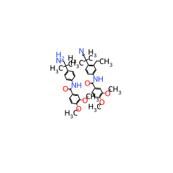 CCc1cc(NC(=O)c2ccc(OC)c(OC)c2)ccc1C(C)(C)C#N.COc1ccc(C(=O)Nc2ccc(C(C)(C)CN)cc2)cc1OC